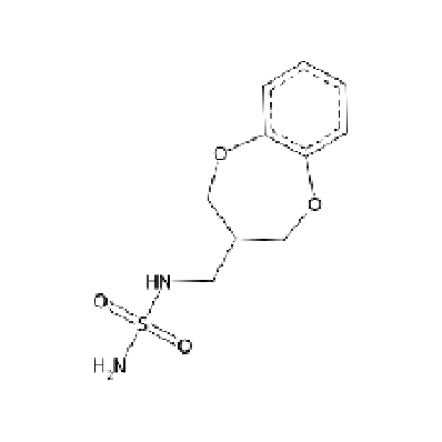 NS(=O)(=O)NCC1COc2ccccc2OC1